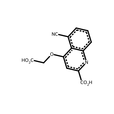 N#Cc1cccc2nc(C(=O)O)cc(OCC(=O)O)c12